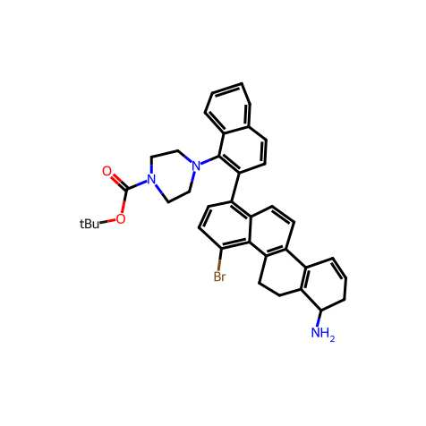 CC(C)(C)OC(=O)N1CCN(c2c(-c3ccc(Br)c4c5c(ccc34)C3=C(CC5)C(N)CC=C3)ccc3ccccc23)CC1